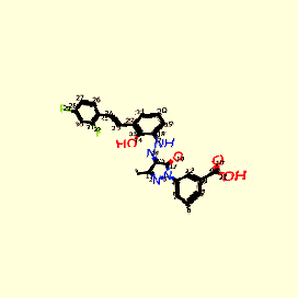 CC1=NN(c2cccc(C(=O)O)c2)C(=O)/C1=N\Nc1cccc(/C=C/c2ccc(F)cc2F)c1O